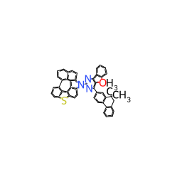 CC1(C)Cc2ccccc2-c2ccc(-c3nc(-n4c5ccc6cccc7c6c5c5c6c(ccc54)sc4cccc-7c46)nc4c3oc3ccccc34)cc21